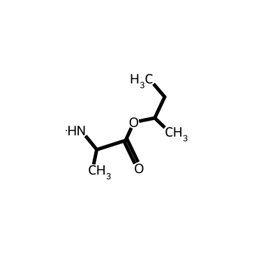 CCC(C)OC(=O)C(C)[NH]